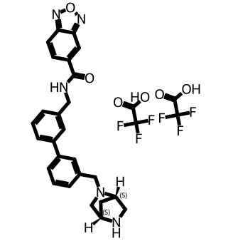 O=C(NCc1cccc(-c2cccc(CN3C[C@@H]4C[C@H]3CN4)c2)c1)c1ccc2nonc2c1.O=C(O)C(F)(F)F.O=C(O)C(F)(F)F